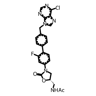 CC(=O)NC[C@H]1CN(c2ccc(-c3ccc(Cn4cnc5c(Cl)ncnc54)cc3)c(F)c2)C(=O)O1